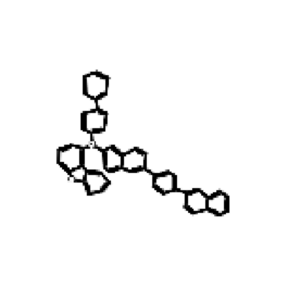 c1ccc(-c2ccc(N(c3ccc4cc(-c5ccc(-c6ccc7ccccc7c6)cc5)ccc4c3)c3cccc4oc5ccccc5c34)cc2)cc1